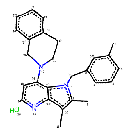 Cc1cccc(Cn2c(C)c(C)c3nccc(N4CCc5ccccc5C4)c32)c1.Cl